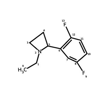 CCN1CCC1c1cc(F)ccc1F